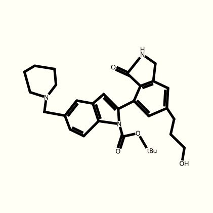 CC(C)(C)OC(=O)n1c(-c2cc(CCCO)cc3c2C(=O)NC3)cc2cc(CN3CCCCC3)ccc21